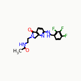 CC(=O)NCCN1Cc2nc(NCc3ccc(F)c(F)c3F)ccc2C1=O